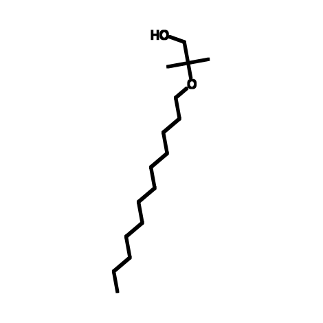 CCCCCCCCCCCCOC(C)(C)CO